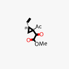 C=C[C@H]1C[C@]1(C(C)=O)C(=O)C(=O)OC